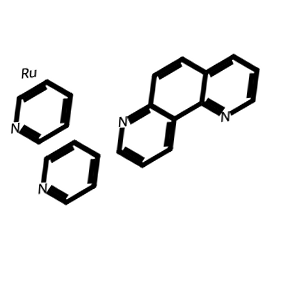 [Ru].c1ccncc1.c1ccncc1.c1cnc2c(c1)ccc1ncccc12